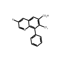 O=C(O)c1cc2cc(F)cnc2c(-c2ccccc2)c1C(F)(F)F